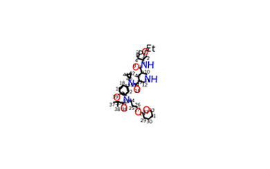 CCOCC(CC(C)C)NC(=O)C1CNCC(C(=O)N(c2ccc3c(c2)N(CCCOC2CCCCO2)C(=O)C(C)(C)O3)C2CC2)C1